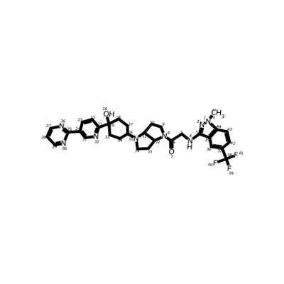 Cn1nc(NCC(=O)N2CCC3C2CCN3C2CCC(O)(c3ccc(-c4ncccn4)cn3)CC2)c2cc(C(F)(F)F)ccc21